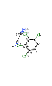 Clc1ccc(Cl)c(Cl)c1Cl.N#CC#N